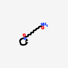 NC(=O)CCCCCCCCCCC(=O)N1CCCCCCCCCC1